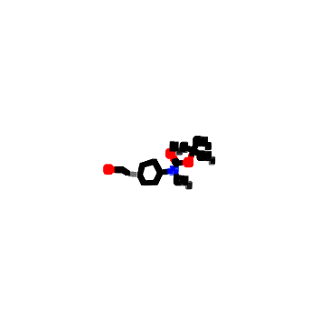 CN(C(=O)OC(C)(C)C)[C@H]1CC[C@H](CC=O)CC1